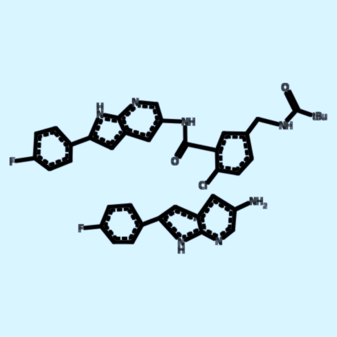 CC(C)(C)C(=O)NCc1ccc(Cl)c(C(=O)Nc2cnc3[nH]c(-c4ccc(F)cc4)cc3c2)c1.Nc1cnc2[nH]c(-c3ccc(F)cc3)cc2c1